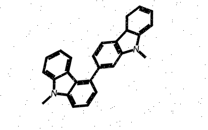 CN1C2=CC=CCC2c2ccc(-c3cccc4c3c3ccccc3n4C)cc21